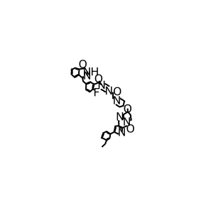 CCc1cccc(-c2cnc(C(=O)N3CCC(OC4CCN(CC(=O)N5CCN(C(=O)c6cc(Cc7n[nH]c(=O)c8ccccc78)ccc6F)CC5)CC4)CC3)c(C#N)c2)c1